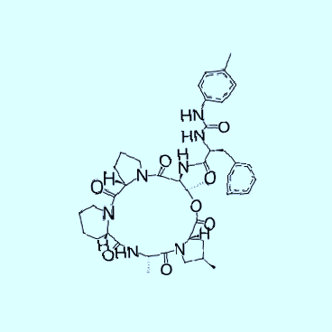 Cc1ccc(NC(=O)N[C@@H](Cc2ccccc2)C(=O)N[C@@H]2C(=O)N3CCC[C@H]3C(=O)N3CCCC[C@H]3C(=O)N[C@@H](C)C(=O)N3C[C@H](C)C[C@H]3C(=O)O[C@H]2C)cc1